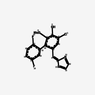 COc1c(O)c(Cl)cc(C=C2N=CC=N2)c1-c1cc(F)ccc1F